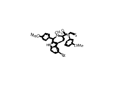 COc1ccc(C2c3[nH]c4ccc(Br)cc4c3CC(C(=O)N(C=S)c3cccc(OC)c3)N2C)cc1